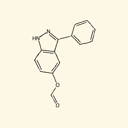 O=COc1ccc2[nH]nc(-c3ccccc3)c2c1